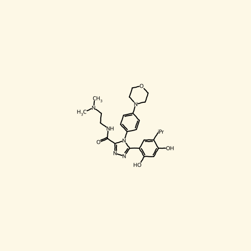 CC(C)c1cc(-c2nnc(C(=O)NCCN(C)C)n2-c2ccc(N3CCOCC3)cc2)c(O)cc1O